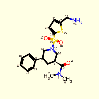 CN(C)C(=O)[C@H]1C[C@@H](c2ccccc2)CN(S(=O)(=O)c2ccc(CN)s2)C1